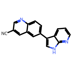 N#Cc1cnc2ccc(-c3c[nH]c4ncccc34)cc2c1